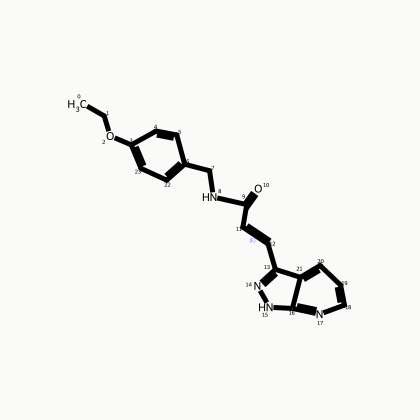 CCOc1ccc(CNC(=O)/C=C/c2n[nH]c3ncccc23)cc1